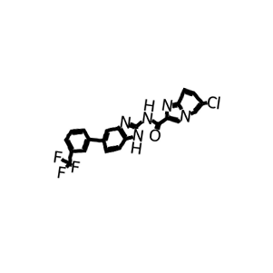 O=C(Nc1nc2cc(-c3cccc(C(F)(F)F)c3)ccc2[nH]1)c1cn2cc(Cl)ccc2n1